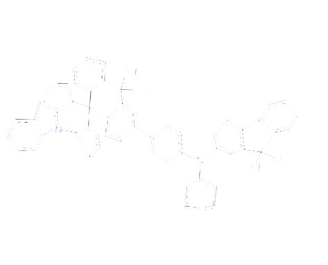 CC1(C)c2ccccc2-c2ccc(N(c3ccccc3)c3ccc(-c4ccc5c(c4)C(C)(C)c4ccccc4C54c5ccccc5-n5c6ccccc6c6cccc4c65)cc3)cc21